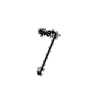 CC[C@@]1(O)C(=O)OCc2c1cc1n(c2=O)Cc2c-1nc1ccc(NC(=O)[C@H](C)NC(=O)[C@@H](NC(=O)CCOCCOCCOCCOCCOCCOCCOCCOCCNC(=O)CCN3C(=O)C=CC3=O)C(C)C)c3c1c2CCC3